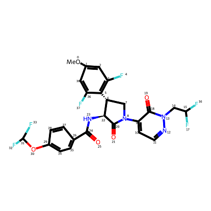 COc1cc(F)c([C@@H]2CN(c3ccnn(CC(F)F)c3=O)C(=O)[C@H]2NC(=O)c2ccc(OC(F)F)cc2)c(F)c1